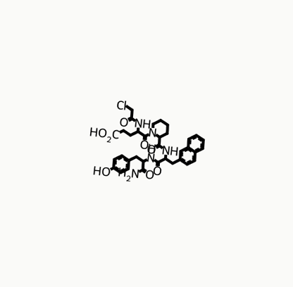 NC(=O)C(Cc1ccc(O)cc1)NC(=O)C(Cc1ccc2ccccc2c1)NC(=O)C1CCCCN1C(=O)C(CCC(=O)O)NC(=O)CCl